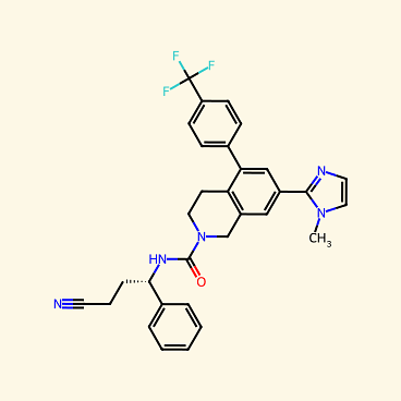 Cn1ccnc1-c1cc2c(c(-c3ccc(C(F)(F)F)cc3)c1)CCN(C(=O)N[C@@H](CCC#N)c1ccccc1)C2